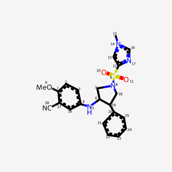 COc1ccc(NC2CN(S(=O)(=O)c3cn(C)cn3)CC2c2ccccc2)cc1C#N